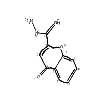 N=C(NN)c1cc(=O)c2ccccc2o1